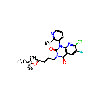 CC(C)c1ncccc1-n1c(=O)n(CCCCO[Si](C)(C)C(C)(C)C)c(=O)c2cc(F)c(Cl)nc21